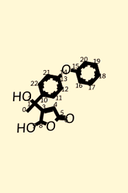 CC(O)(C1=CC(=O)OC1O)c1ccc(Oc2ccccc2)cc1